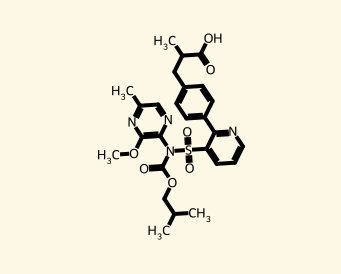 COc1nc(C)cnc1N(C(=O)OCC(C)C)S(=O)(=O)c1cccnc1-c1ccc(CC(C)C(=O)O)cc1